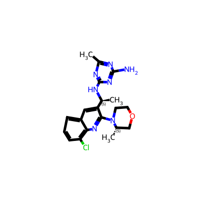 Cc1nc(N)nc(N[C@@H](C)c2cc3cccc(Cl)c3nc2N2CCOC[C@@H]2C)n1